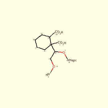 CCCCCCCOC(COCCC)C1(C(=O)O)CCCCC1C(=O)O